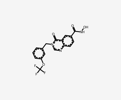 O=C(NO)c1ccc2ncn(Cc3cccc(OC(F)(F)F)c3)c(=O)c2c1